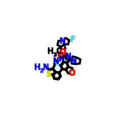 COCCN1CC2CCC(C1)N2c1nc(OC[C@@]23CCCN2C[C@H](F)C3)nc2c(F)c(-c3cccc4sc(N)c(C#N)c34)c3c(c12)COC3